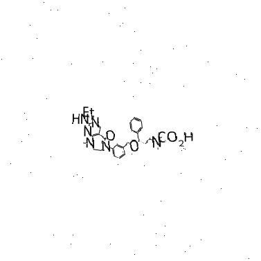 CCNc1ncc2c(n1)N(C)CCN(c1cccc(CO[C@@H](CCN(C)C(=O)O)c3ccccc3)c1)C2=O